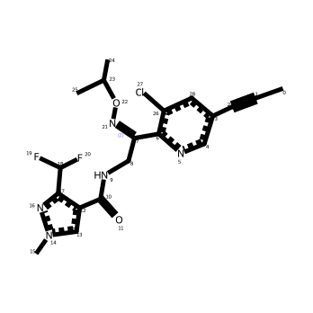 CC#Cc1cnc(/C(CNC(=O)c2cn(C)nc2C(F)F)=N\OC(C)C)c(Cl)c1